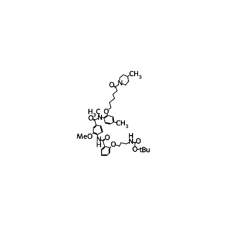 COc1cc(C(=O)N(C)c2ccc(C)cc2OCCCCCC(=O)N2CCC(C)CC2)ccc1NC(=O)c1ccccc1OCCCNC(=O)OC(C)(C)C